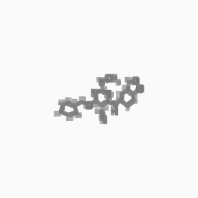 CSc1nc(Nc2ccc3c(c2)COO3)c(C#N)c(OCc2ccccc2)n1